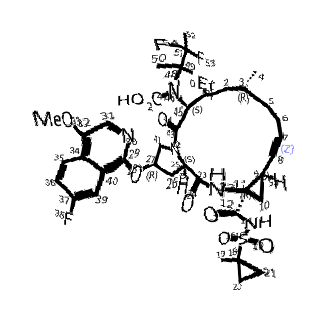 CC[C@@H]1C[C@H](C)CC/C=C\[C@@H]2C[C@@]2(C(=O)NS(=O)(=O)C2(C)CC2)NC(=O)[C@@H]2C[C@@H](Oc3ncc(OC)c4ccc(F)cc34)CN2C(=O)[C@H]1N(C(=O)O)C(C)(C)C(C)(F)F